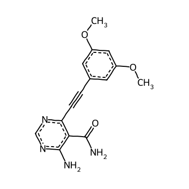 COc1cc(C#Cc2ncnc(N)c2C(N)=O)cc(OC)c1